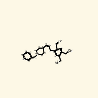 O=Cc1cc(CO)c(CO)cc1C/C=C\C1CCN(Cc2ccccc2)CC1